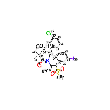 CC(C)[C@@H](CS(=O)(=O)C(C)C)N1C(=O)[C@@](C)(CC(=O)O)C[C@H](c2cccc(Cl)c2)[C@H]1c1ccc(I)cc1